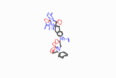 O=C(CN1C(=O)OC[C@H]1c1ccccc1)Nc1ccc2c(c1)CC1(C2)NC(=O)NC1=O